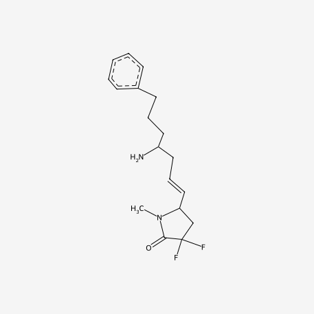 CN1C(=O)C(F)(F)CC1/C=C/CC(N)CCCc1ccccc1